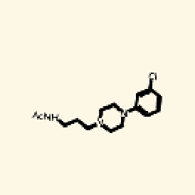 CC(=O)NCCCN1CCN(c2cccc(Cl)c2)CC1